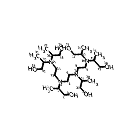 CC(CO)N(CCN(CCN(C(C)CO)C(C)CO)C(C)CO)CCN(C(C)CO)C(C)CO